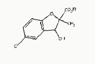 CCOC(=O)C1(C)Oc2ccc(Cl)cc2C1O